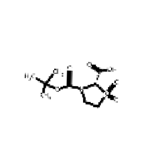 CC(C)(C)OC(=O)N1CCS(=O)(=O)[C@H]1C(=O)O